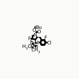 CN(C)S(=O)(=O)N[C@@H]1[C@H](Cc2cccc(Cl)c2F)N(C(=O)OC(C)(C)C)CC1(F)F